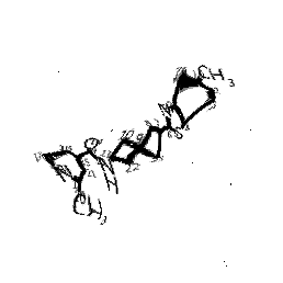 Cc1ccc2sc(C3CC4(CC(NC(=O)c5ccnc(C)c5)C4)C3)nc2c1